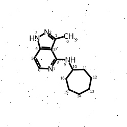 Cc1n[nH]c2ccnc(NC3CCCCCC3)c12